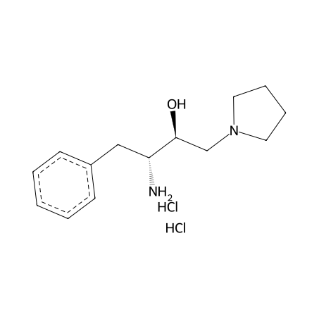 Cl.Cl.N[C@H](Cc1ccccc1)[C@@H](O)CN1CCCC1